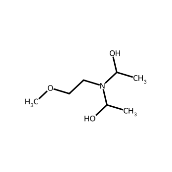 COCCN(C(C)O)C(C)O